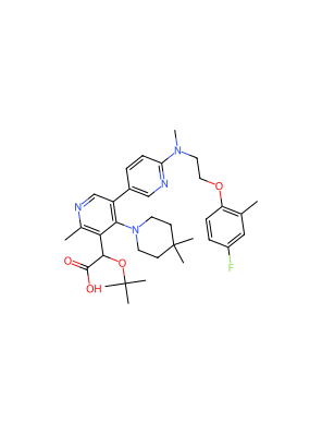 Cc1cc(F)ccc1OCCN(C)c1ccc(-c2cnc(C)c(C(OC(C)(C)C)C(=O)O)c2N2CCC(C)(C)CC2)cn1